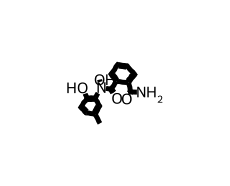 Cc1ccc(O)c(N(O)C(=O)c2ccccc2C(N)=O)c1